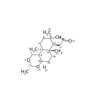 C[C@@H]1OC[C@@]2(C)C3CCC(C)(C)[C@@H](CC=O)[C@]3(C)CC[C@H]2O1